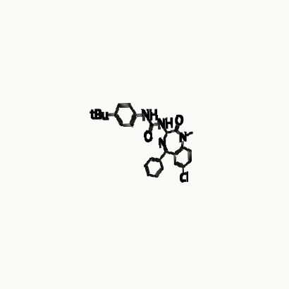 CN1C(=O)C(NC(=O)Nc2ccc(C(C)(C)C)cc2)N=C(c2ccccc2)c2cc(Cl)ccc21